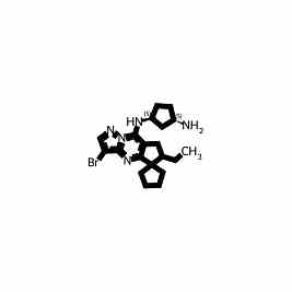 CCC1Cc2c(nc3c(Br)cnn3c2N[C@H]2CC[C@H](N)C2)C12CCCC2